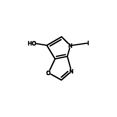 Oc1cn(I)c2ncoc12